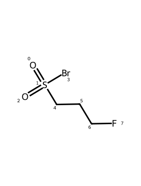 O=S(=O)(Br)CCCF